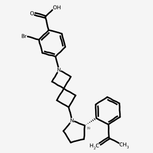 C=C(C)c1ccccc1[C@@H]1CCCN1C1CC2(C1)CN(c1ccc(C(=O)O)c(Br)c1)C2